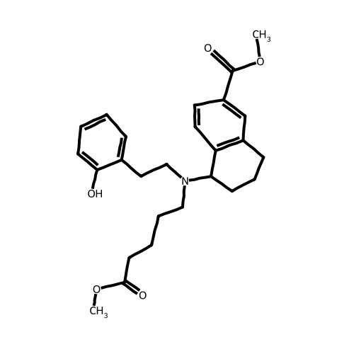 COC(=O)CCCCN(CCc1ccccc1O)C1CCCc2cc(C(=O)OC)ccc21